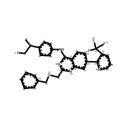 CC(CF)c1ccc(Nc2nc(COCc3ccccc3)nc3cc(-c4ncccc4C(F)(F)F)ccc23)cc1